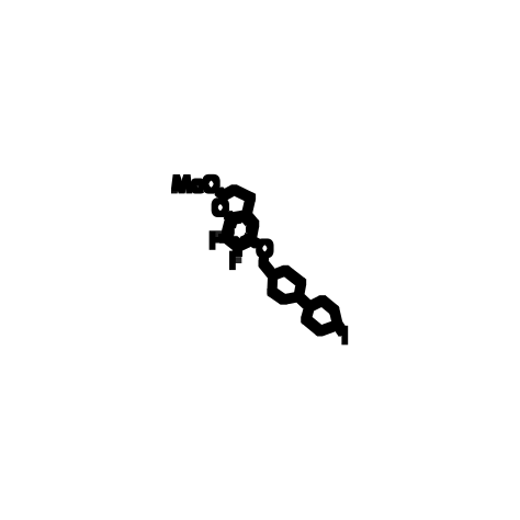 COC1CCc2cc(OCC3CCC(C4CCC(I)CC4)CC3)c(F)c(F)c2O1